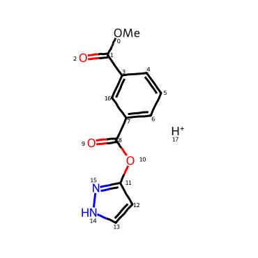 COC(=O)c1cccc(C(=O)Oc2cc[nH]n2)c1.[H+]